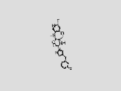 CN1C(=O)[C@@H](NC(=O)n2cc(Cc3cccc(F)c3)cn2)COc2cc(F)ncc21